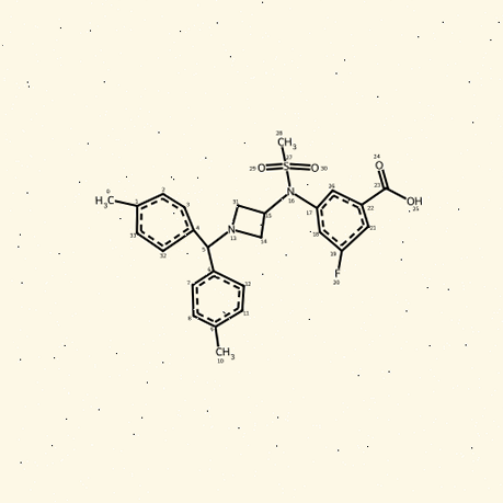 Cc1ccc(C(c2ccc(C)cc2)N2CC(N(c3cc(F)cc(C(=O)O)c3)S(C)(=O)=O)C2)cc1